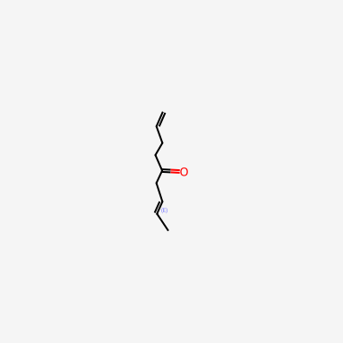 C=CCCC(=O)C/C=C/C